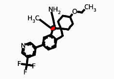 CCOC1CCC2(CC1)Cc1ccc(-c3cncc(C(F)(F)F)c3)cc1C21N=C(C)C(N)=N1